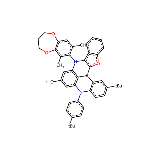 Cc1cc2c3c(c1)N(c1c(C)cc4c(c1C)OCCCO4)c1c(oc4ccccc14)B3c1cc(C(C)(C)C)ccc1N2c1ccc(C(C)(C)C)cc1